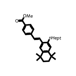 CCCCCCCc1cc2c(cc1C=Cc1ccc(C(=O)OC)cc1)C(C)(C)CCC2(C)C